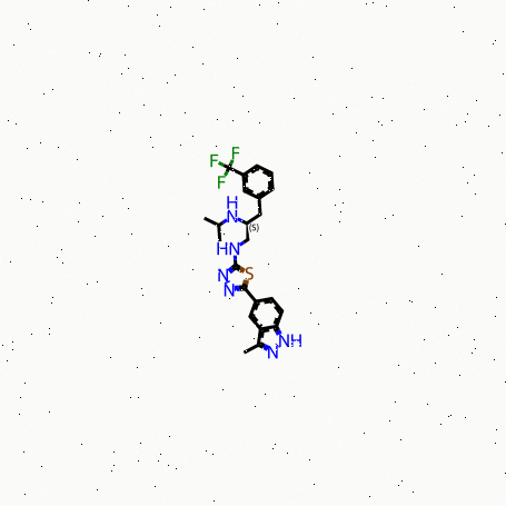 Cc1n[nH]c2ccc(-c3nnc(NC[C@H](Cc4cccc(C(F)(F)F)c4)NC(C)C)s3)cc12